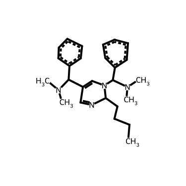 CCCCC1N=CC(C(c2ccccc2)N(C)C)=CN1C(c1ccccc1)N(C)C